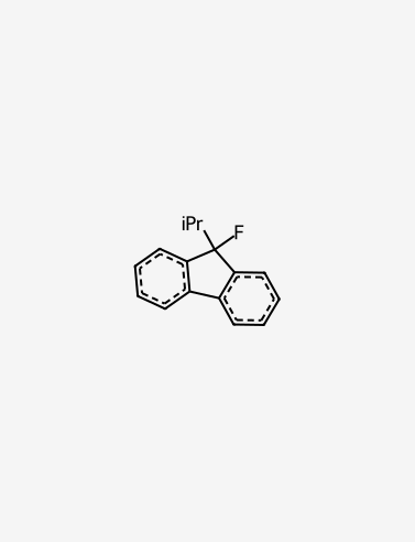 CC(C)C1(F)c2ccccc2-c2ccccc21